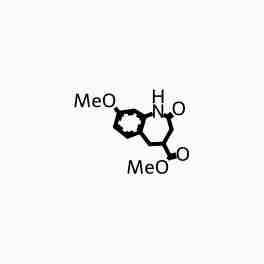 COC(=O)C1CC(=O)Nc2cc(OC)ccc2C1